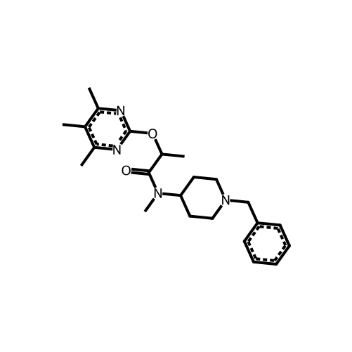 Cc1nc(OC(C)C(=O)N(C)C2CCN(Cc3ccccc3)CC2)nc(C)c1C